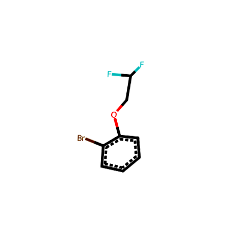 FC(F)COc1ccccc1Br